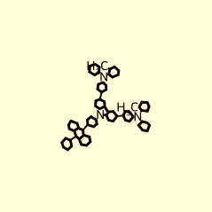 Cc1ccccc1N(c1ccccc1)c1ccc(-c2ccc3c(c2)c2cc(-c4ccc(N(c5ccccc5)c5ccccc5C)cc4)ccc2n3-c2ccc(-c3c4ccccc4c(-c4ccccc4)c4ccccc34)cc2)cc1